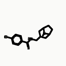 CN1C2CCC1CC(CNC(=S)c1ccc(Cl)cc1)C2